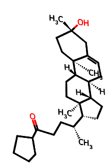 C[C@H](CCC(=O)C1CCCC1)[C@H]1CC[C@H]2[C@@H]3CC=C4C[C@@](C)(O)CC[C@]4(C)[C@H]3CC[C@]12C